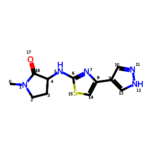 CN1CCC(Nc2nc(-c3cn[nH]c3)cs2)C1=O